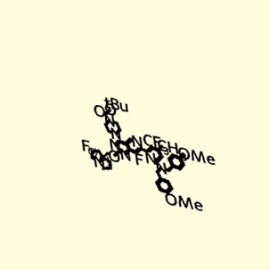 COc1ccc(CN(Cc2ccc(OC)cc2)c2cc(C)c(C(F)(F)F)c(-c3ncc4c(N5CCN(C(=O)OC(C)(C)C)CC5)nc(OC[C@@]56CCCN5C[C@H](F)C6)nc4c3F)n2)cc1